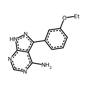 CCOc1cccc(-c2n[nH]c3ncnc(N)c23)c1